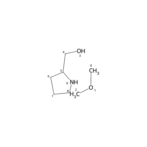 COC.OCC1CCCN1